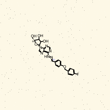 OC[C@H]1O[C@@H](n2cnc3c(N/N=C/c4ccc(OCc5ccc(F)cc5)cc4)ncnc32)C(O)C1O